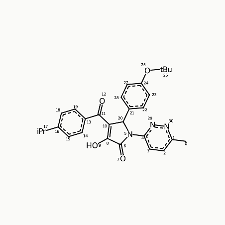 Cc1ccc(N2C(=O)C(O)=C(C(=O)c3ccc(C(C)C)cc3)C2c2ccc(OC(C)(C)C)cc2)nn1